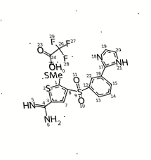 CSc1sc(C(=N)N)cc1S(=O)(=O)c1cccc(-c2ncc[nH]2)c1.O=C(O)C(F)(F)F